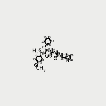 COc1ccc(N(C)C(=O)[C@H](Cc2ccccc2)NC(=O)N[S@@+]([O-])NCc2nccs2)cc1